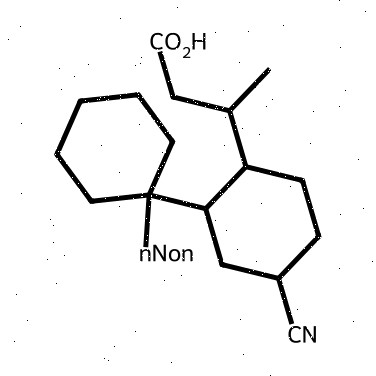 CCCCCCCCCC1(C2CC(C#N)CCC2C(C)CC(=O)O)CCCCC1